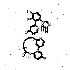 C[C@@H]1CCC[C@H](n2cnc(-c3c(N4C=NNN4)ccc(Cl)c3F)cc2=O)c2cc(ccn2)-c2cc(F)ccc2NC1=O